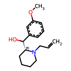 C=CCN1CCCC[C@@H]1C(O)c1cccc(OC)c1